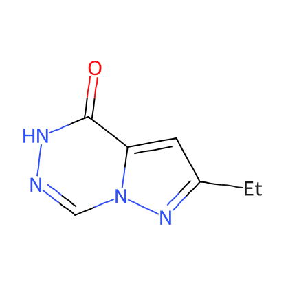 CCc1cc2c(=O)[nH]ncn2n1